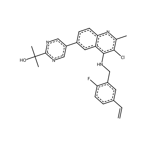 C=Cc1ccc(F)c(CNc2c(Cl)c(C)nc3ccc(-c4cnc(C(C)(C)O)nc4)cc23)c1